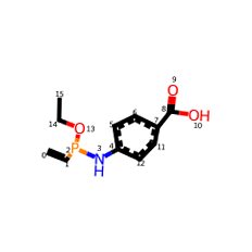 C=CP(Nc1ccc(C(=O)O)cc1)OCC